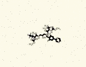 COC(=O)NC(C(=O)NC[C@@H](O)CN(Cc1c(F)cc(-c2cnccn2)cc1F)NC(=O)[C@@H](NC(=O)OC)C(C)(C)C)C(C)(C)C(F)(F)F